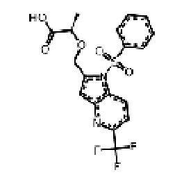 C[C@@H](OCc1cc2nc(C(F)(F)F)ccc2n1S(=O)(=O)c1ccccc1)C(=O)O